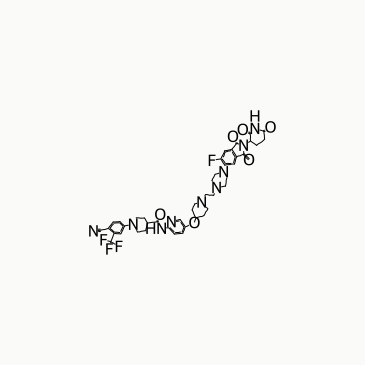 N#Cc1ccc(N2CCC(C(=O)Nc3ccc(OC4CCN(CCN5CCN(c6cc7c(cc6F)C(=O)N(C6CCC(=O)NC6=O)C7=O)CC5)CC4)cn3)CC2)cc1C(F)(F)F